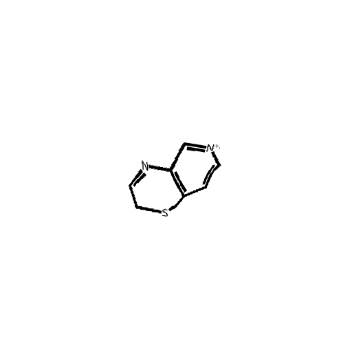 C1=CC2=C(C=[N+]1)N=CCS2